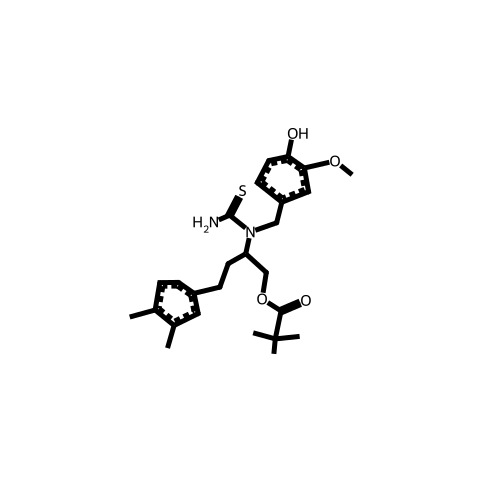 COc1cc(CN(C(N)=S)C(CCc2ccc(C)c(C)c2)COC(=O)C(C)(C)C)ccc1O